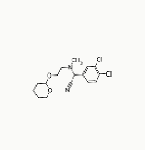 CN(CCOC1CCCCO1)C(C#N)c1ccc(Cl)c(Cl)c1